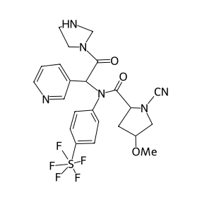 COC1CC(C(=O)N(c2ccc(S(F)(F)(F)(F)F)cc2)C(C(=O)N2CCNC2)c2cccnc2)N(C#N)C1